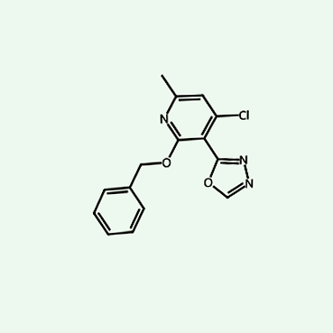 Cc1cc(Cl)c(-c2nnco2)c(OCc2ccccc2)n1